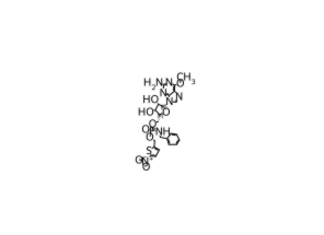 COc1nc(N)nc2c1ncn2[C@@H]1O[C@H](COP(=O)(NCc2ccccc2)OCc2ccc([N+](=O)[O-])s2)C(O)C1O